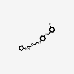 Fc1cccc(COc2ccc(OCCOCCNC3CCCC3)cc2)c1